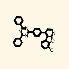 Clc1cccc2c1oc1nccc(-c3ccc(-c4nc(-c5ccccc5)nc(C5C=CC=CC5)n4)cc3)c12